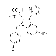 CC(C)c1ccc2c(c1)c(-c1ncco1)c(CC(C)(C)C(=O)O)n2Cc1ccc(Cl)cc1